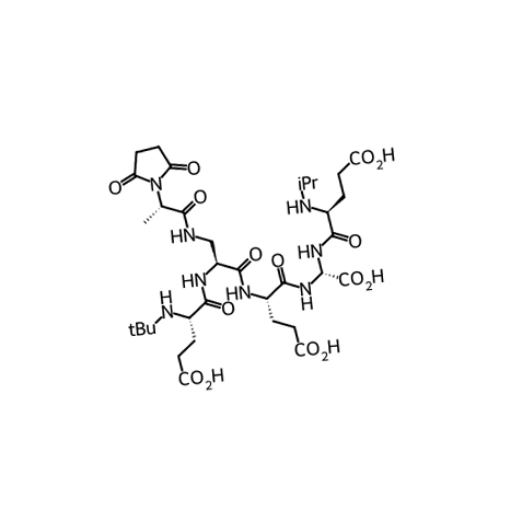 CC(C)N[C@@H](CCC(=O)O)C(=O)N[C@@H](NC(=O)[C@H](CCC(=O)O)NC(=O)[C@H](CNC(=O)[C@H](C)N1C(=O)CCC1=O)NC(=O)[C@H](CCC(=O)O)NC(C)(C)C)C(=O)O